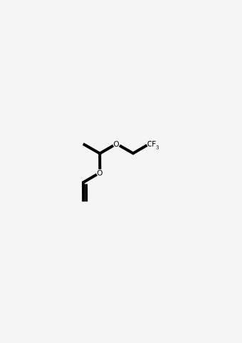 C=COC(C)OCC(F)(F)F